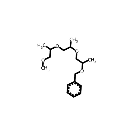 COCC(C)OCC(C)OCC(C)OCc1ccccc1